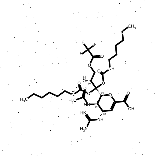 CCCCCCNC(=O)OC(OC(=O)NCCCCCC)([C@H](O)COC(=O)C(F)(F)F)[C@@H]1OC(C(=O)O)=C[C@H](NC(=N)N)[C@H]1NC(C)=O